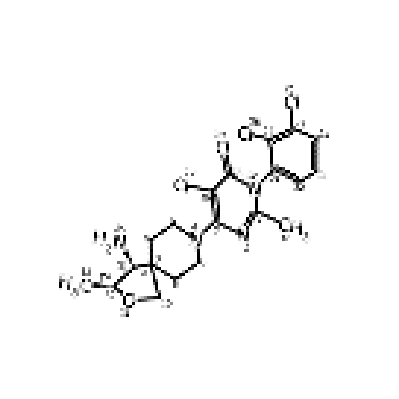 Cc1nc(N2CCC3(CC2)CO[C@@H](C)[C@H]3N)c(Cl)c(=O)n1-c1cccc(Cl)c1Cl